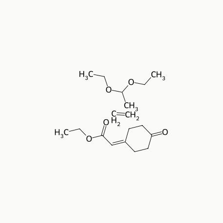 C=C.CCOC(=O)C=C1CCC(=O)CC1.CCOC(C)OCC